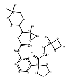 CC1(C)CCC(C(CC(=O)Nc2cccc(C3(C(=O)NCC4(C)CCC4)CCOC3)c2)C2(C)CC2)CC1